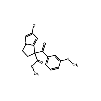 COC(=O)C1(C(=O)c2cccc(SC)c2)CCn2cc(Cl)cc21